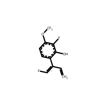 C=C/C(=C/F)c1ccc(OC(F)(F)F)c(F)c1O